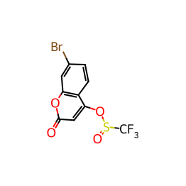 O=c1cc(OS(=O)C(F)(F)F)c2ccc(Br)cc2o1